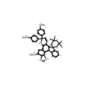 COc1ccc(C2(c3ccc(OC)cc3)C=Cc3c4c(c5c6c(c(OC)cc5c3O2)OCO6)-c2ccccc2C42CC(C)(C)CC(C)(C)C2)cc1